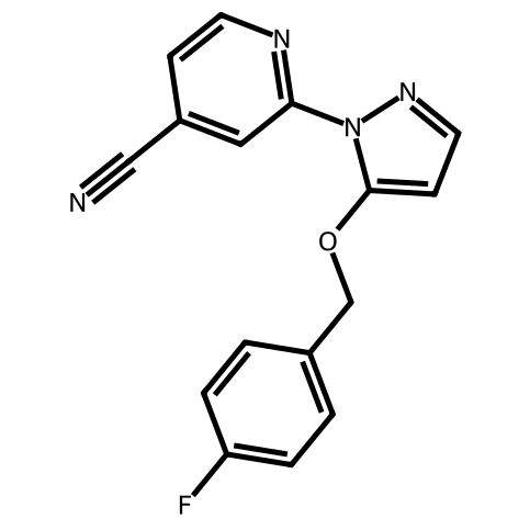 N#Cc1ccnc(-n2nccc2OCc2ccc(F)cc2)c1